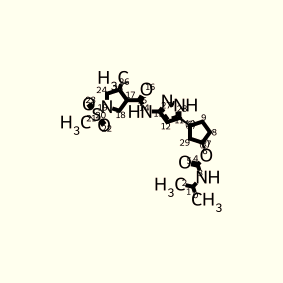 CC(C)NC(=O)O[C@@H]1CC[C@H](c2cc(NC(=O)C3CN(S(C)(=O)=O)CC3C)n[nH]2)C1